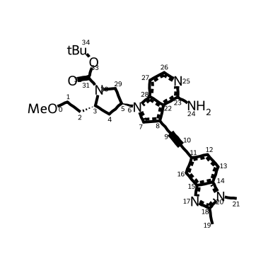 COCC[C@H]1C[C@H](n2cc(C#Cc3ccc4c(c3)nc(C)n4C)c3c(N)nccc32)CN1C(=O)OC(C)(C)C